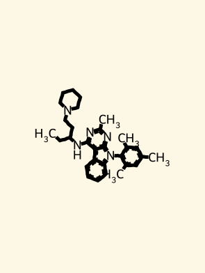 CCC(CCN1CCCCC1)Nc1nc(C)nc2c1c1ccccc1n2-c1c(C)cc(C)cc1C